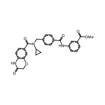 COC(=O)c1cccc(NC(=O)c2ccc(CN(C(=O)c3ccc4c(c3)OCC(=O)N4)C3CC3)cc2)c1